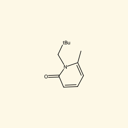 Cc1cccc(=O)n1CC(C)(C)C